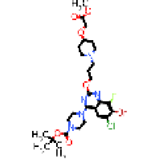 COC(=O)COC1CCN(CCCOc2nc(N3CCN(C(=O)OC(C)(C)C)CC3)c3cc(Cl)c(Br)c(F)c3n2)CC1